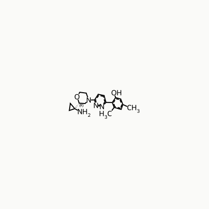 Cc1cc(C)c(-c2ccc(N3CCO[C@@H](C4(N)CC4)C3)nn2)c(O)c1